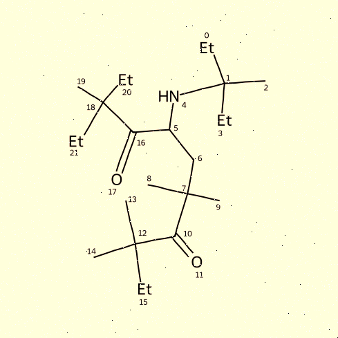 CCC(C)(CC)NC(CC(C)(C)C(=O)C(C)(C)CC)C(=O)C(C)(CC)CC